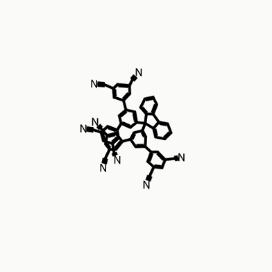 N#Cc1cc(C#N)cc(-c2cc(-c3cc(C#N)cc(C#N)c3)cc(C3(c4cc(-c5cc(C#N)cc(C#N)c5)cc(-c5cc(C#N)cc(C#N)c5)c4)c4ccccc4-c4ccccc43)c2)c1